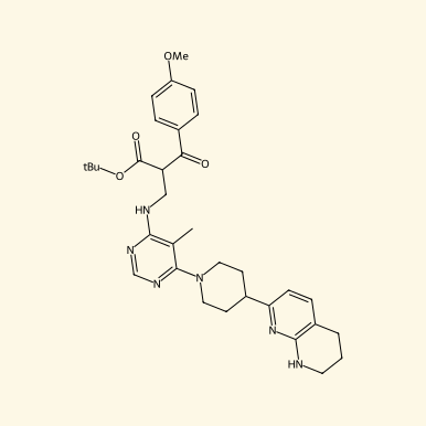 COc1ccc(C(=O)C(CNc2ncnc(N3CCC(c4ccc5c(n4)NCCC5)CC3)c2C)C(=O)OC(C)(C)C)cc1